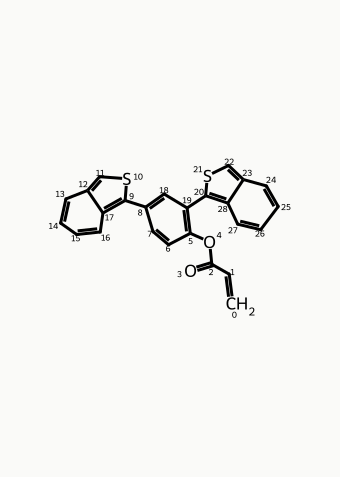 C=CC(=O)Oc1ccc(-c2scc3ccccc23)cc1-c1scc2ccccc12